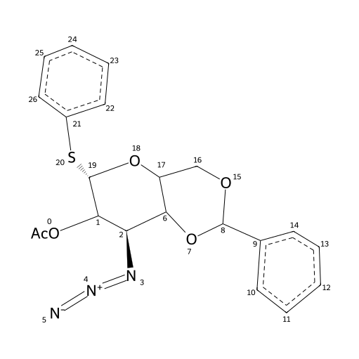 CC(=O)OC1[C@H](N=[N+]=[N-])C2OC(c3ccccc3)OCC2O[C@H]1Sc1ccccc1